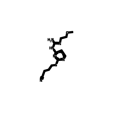 COCCN=C(N)Nc1ccnc(SCCCC#N)n1